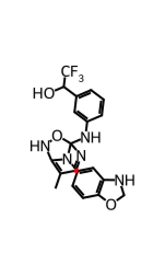 CC1=C2NOC(Nc3cccc(C(O)C(F)(F)F)c3)(N=C1)N2c1ccc2c(c1)NCO2